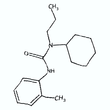 CCCN(C(=O)Nc1ccccc1C)C1CCCCC1